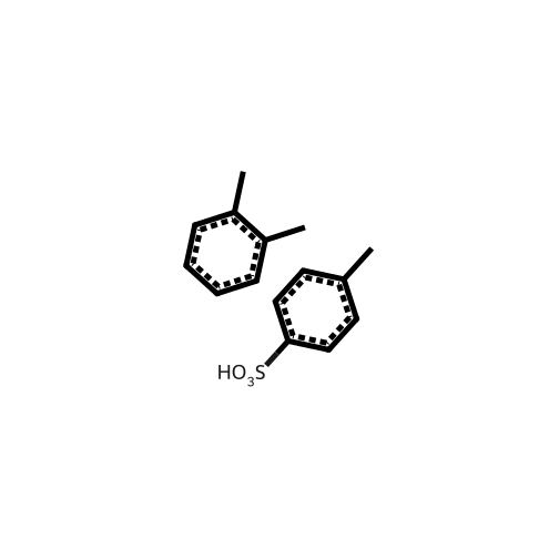 Cc1ccc(S(=O)(=O)O)cc1.Cc1ccccc1C